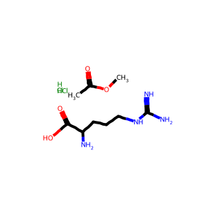 COC(C)=O.Cl.Cl.N=C(N)NCCCC(N)C(=O)O